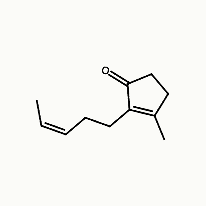 C/C=C\CCC1=C(C)CCC1=O